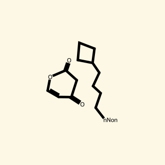 CCCCCCCCCCCCCC1CCC1.O=C1C=COC(=O)C1